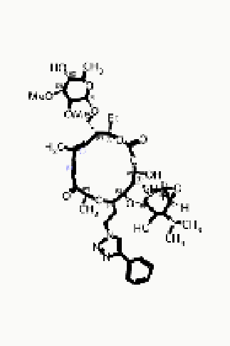 CC[C@H]1OC(=O)C[C@@H](O)[C@H](C)[C@@H](O[C@@H]2O[C@@H]3O[C@H]3C(N(C)C)C2O)[C@@H](CCn2cc(-c3ccccc3)nn2)C[C@@H](C)C(=O)/C=C/C(C)=C/[C@@H]1CO[C@@H]1OC(C)[C@@H](O)[C@H](OC)C1OC